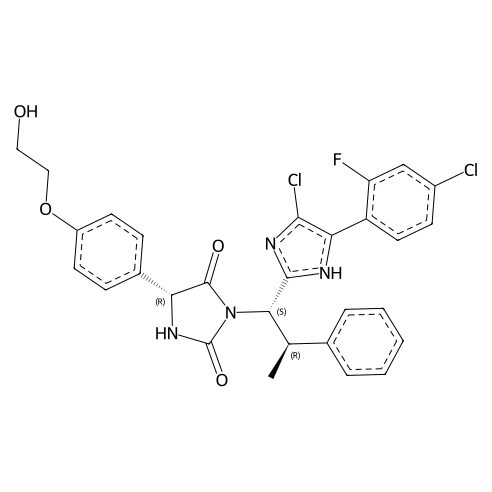 C[C@H](c1ccccc1)[C@@H](c1nc(Cl)c(-c2ccc(Cl)cc2F)[nH]1)N1C(=O)N[C@H](c2ccc(OCCO)cc2)C1=O